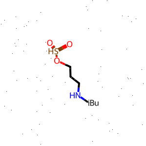 CCC(C)NCCCO[SH](=O)=O